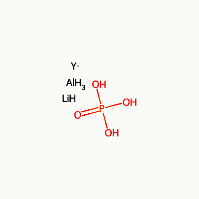 O=P(O)(O)O.[AlH3].[LiH].[Y]